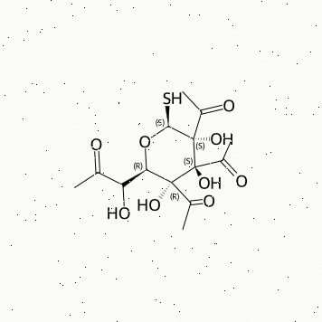 CC(=O)C(O)[C@H]1O[C@@H](S)[C@@](O)(C(C)=O)[C@](O)(C(C)=O)[C@@]1(O)C(C)=O